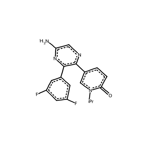 CC(C)n1cc(-c2ncc(N)nc2-c2cc(F)cc(F)c2)ccc1=O